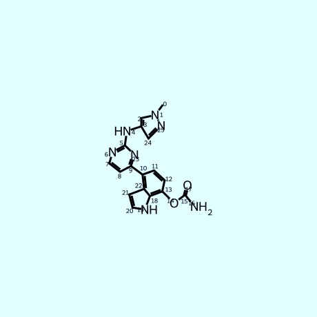 Cn1cc(Nc2nccc(-c3ccc(OC(N)=O)c4[nH]ccc34)n2)cn1